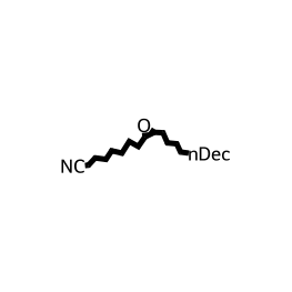 CCCCCCCCCCCCCCC1OC1CCCCCCCC#N